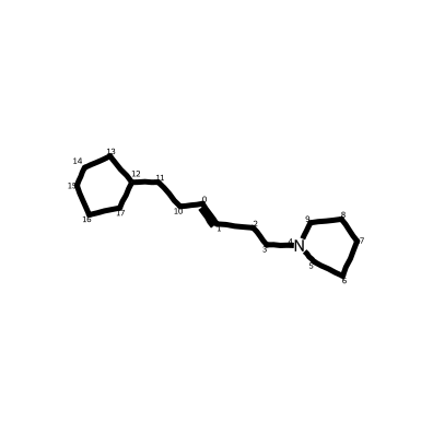 C(=C\CCN1CCCCC1)/CCC1CCCCC1